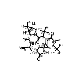 CN(CC(F)(F)F)C(=O)N[C@H](C(=O)N1C[C@H]2[C@@H]([C@H]1C(=O)N[C@H](C#N)C[C@@H]1CC3(CC3)NC1=O)C2(C)C)C(C)(C)C